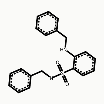 O=S(=O)([N]Cc1ccccc1)c1ccccc1NCc1ccccc1